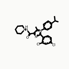 Cc1c(C(=O)NN2CCCCC2)nc(-c2ccc(Cl)cc2Cl)n1-c1ccc(C(C)C)cc1